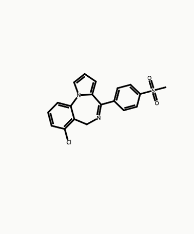 CS(=O)(=O)c1ccc(C2=NCc3c(Cl)cccc3-n3cccc32)cc1